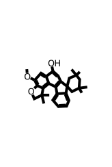 COc1cc2c(O)cc3c(c2c2c1OCC2(C)C)-c1ccccc1C31CC(C)(C)CC(C)(C)C1